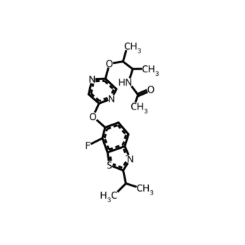 CC(=O)NC(C)C(C)Oc1cnc(Oc2ccc3nc(C(C)C)sc3c2F)cn1